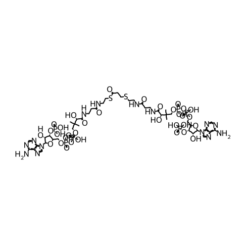 CC(C)(COP(=O)(O)OP(=O)(O)OCC1OC(n2cnc3c(N)ncnc32)[C@H](O)[C@@H]1OP(=O)(O)O)[C@@H](O)C(=O)NCCC(=O)NCCSCCC(=O)SCCNC(=O)CCNC(=O)[C@H](O)C(C)(C)COP(=O)(O)OP(=O)(O)OCC1OC(n2cnc3c(N)ncnc32)[C@H](O)[C@@H]1OP(=O)(O)O